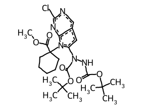 COC(=O)C1(n2c(N(NC(=O)OC(C)(C)C)C(=O)OC(C)(C)C)cc3cnc(Cl)nc32)CCCCC1